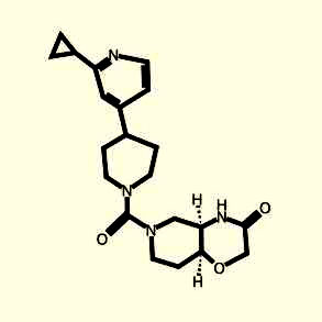 O=C1CO[C@H]2CCN(C(=O)N3CCC(c4ccnc(C5CC5)c4)CC3)C[C@H]2N1